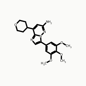 COc1cc(-c2cnc3c(C4CCOCC4)cc(N)nn23)cc(OC)c1OC